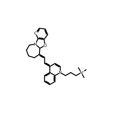 C[N+](C)(C)CCCN1C=CC(=CC=C2CCCCN3C4=C(C=CC=[C+]4)OC23)c2ccccc21